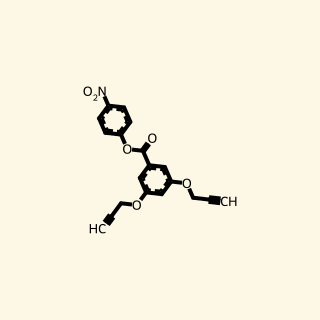 C#CCOc1cc(OCC#C)cc(C(=O)Oc2ccc([N+](=O)[O-])cc2)c1